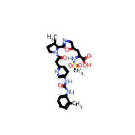 Cc1ccccc1NC(=O)Nc1ccc(CC(=O)N2CCC(C)C2C2=NCC(CC(NS(C)(=O)=O)C(=O)O)O2)nc1